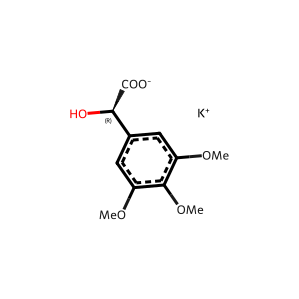 COc1cc([C@@H](O)C(=O)[O-])cc(OC)c1OC.[K+]